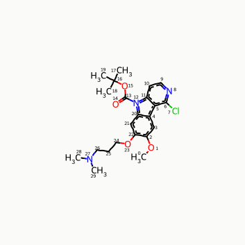 COc1cc2c3c(Cl)nccc3n(C(=O)OC(C)(C)C)c2cc1OCCCN(C)C